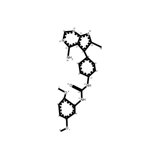 COc1ccc(OC)c(NC(=O)Nc2ccc(-c3c(C)sc4ncnc(N)c34)cc2)c1